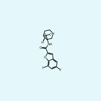 O=C(N[C@H]1CN2CCC1CC2)c1cc2cc(F)cc(F)c2o1